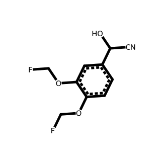 N#CC(O)c1ccc(OCF)c(OCF)c1